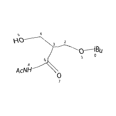 CCC(C)OCC(CO)C(=O)NC(C)=O